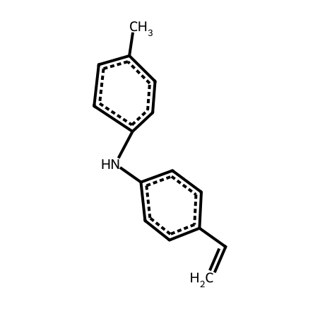 C=Cc1ccc(Nc2ccc(C)cc2)cc1